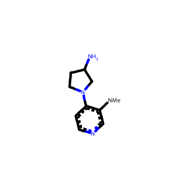 CNc1cnccc1N1CCC(N)C1